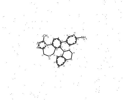 Cc1nnc2n1-c1ccc(-c3ccc(N)nc3)c(C3CCCc4ccccc43)c1COC2